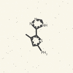 Cc1cc(P)sc1-c1nnc[nH]1